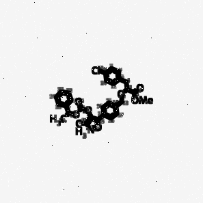 COC(=O)C(Cc1ccc(Cl)cc1)OCc1ccc(-c2onc(C)c2OC(=O)OC(C)c2ccccc2)cc1